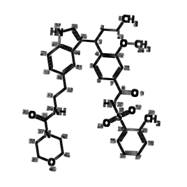 CCCC(c1ccc(C(=O)NS(=O)(=O)c2ccccc2C)cc1OC)c1c[nH]c2ccc(CCNC(=O)N3CCOCC3)cc12